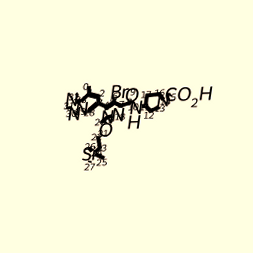 Cc1cc(-c2c(Br)c(C(=O)NC3CCN(C(=O)O)CC3)nn2COCC[Si](C)(C)C)cn2ncnc12